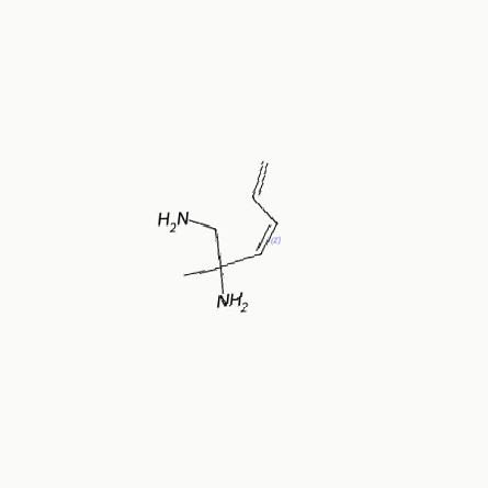 C=C/C=C\C(C)(N)CN